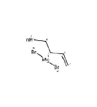 [Br][Mg][Br].[CH2]CCCCC=C